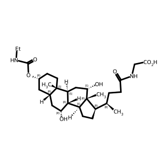 CCNC(=O)O[C@@H]1CC[C@@]2(C)[C@@H](C1)C[C@@H](O)[C@@H]1[C@@H]2C[C@H](O)[C@]2(C)[C@@H]([C@H](C)CCC(=O)NCC(=O)O)CC[C@@H]12